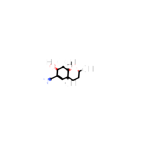 CC1CCC2(C)C=C(C#N)C(=O)C(C)(C)[C@@H]2O1